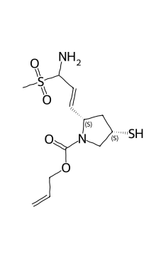 C=CCOC(=O)N1C[C@@H](S)C[C@H]1C=CC(N)S(C)(=O)=O